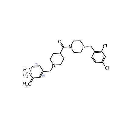 C=C(N)/C=C(\C=C/N)CN1CCC(C(=O)N2CCN(Cc3ccc(Cl)cc3Cl)CC2)CC1